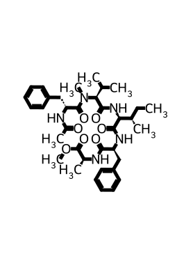 CC[C@H](C)[C@H](NC(=O)[C@H](C(C)C)N(C)C(=O)[C@@H](Cc1ccccc1)NC(C)=O)C(=O)N[C@@H](Cc1ccccc1)C(=O)N[C@@H](C)C(=O)OC